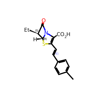 CC[C@H]1C(=O)N2C(C(=O)O)=C(/C=C/c3ccc(C)cc3)S[C@H]12